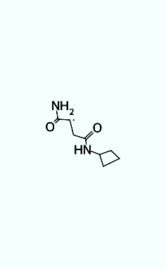 NC(=O)[CH]CC(=O)NC1CCC1